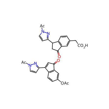 CC(=O)Oc1ccc2c(c1)C(=O)C=C2c1ccn(C(C)=O)n1.CC(=O)n1ccc(C2CC(=O)c3cc(CC(=O)O)ccc32)n1